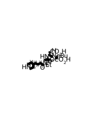 CCCC[C@H](NC(=O)[C@H](CC(=O)O)NC(=O)CN(CC)C(=O)CCCC1CCNCC1)C(=O)O